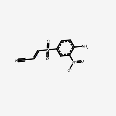 N#C/C=C/S(=O)(=O)c1ccc(N)c([N+](=O)[O-])c1